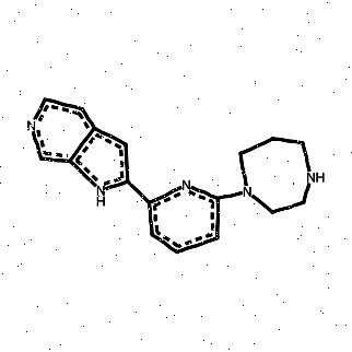 c1cc(-c2cc3ccncc3[nH]2)nc(N2CCCNCC2)c1